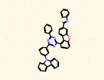 c1ccc(-c2nc(-c3cccc(-n4c5ccccc5c5ccccc54)c3)nc(-c3cccc4oc5cc(-c6nc7ccccc7s6)ccc5c34)n2)cc1